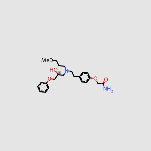 COCCCN(CCc1ccc(OCC(N)=O)cc1)C[C@H](O)COc1ccccc1